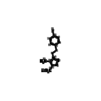 CCOC(=O)c1cnn(CCc2ccc(F)cc2)c1N